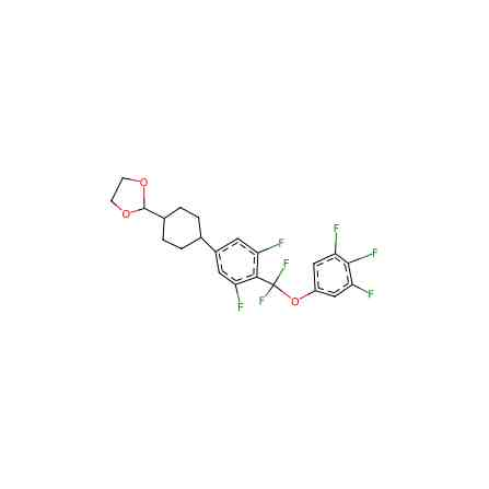 Fc1cc(OC(F)(F)c2c(F)cc(C3CCC(C4OCCO4)CC3)cc2F)cc(F)c1F